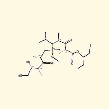 CCC(CC)OC(=O)[C@H](C)C(=O)[C@H](C)C(C(C)C)[C@@](C)(C[C@@H](C)C(=N)[C@H](C)[C@@H](O)CO)OC